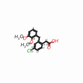 COc1cccc(Cc2cc(Cl)ccc2CC(=O)O)c1OC